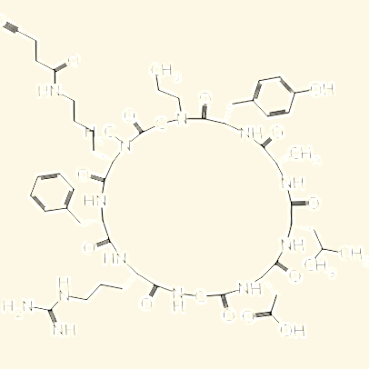 C#CCCC(=O)NCCCC[C@H]1C(=O)N[C@@H](Cc2ccccc2)C(=O)N[C@@H](CCCNC(=N)N)C(=O)NCC(=O)N[C@@H](CC(=O)O)C(=O)N[C@@H](CC(C)C)C(=O)N[C@@H](C)C(=O)N[C@@H](Cc2ccc(O)cc2)C(=O)N(CCC)CC(=O)N1C